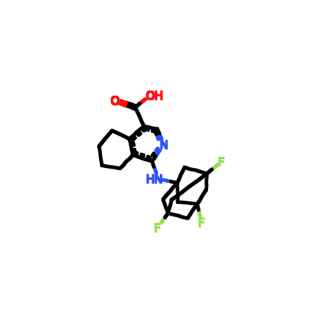 O=C(O)c1cnc(NC23CC4(F)CC(F)(CC(F)(C4)C2)C3)c2c1CCCC2